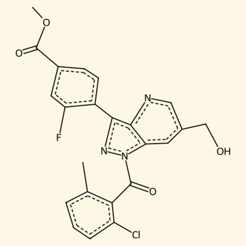 COC(=O)c1ccc(-c2nn(C(=O)c3c(C)cccc3Cl)c3cc(CO)cnc23)c(F)c1